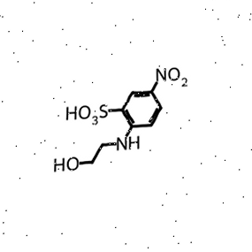 O=[N+]([O-])c1ccc(NCCO)c(S(=O)(=O)O)c1